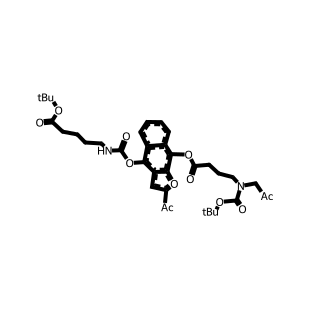 CC(=O)CN(CCCC(=O)Oc1c2ccccc2c(OC(=O)NCCCCC(=O)OC(C)(C)C)c2cc(C(C)=O)oc12)C(=O)OC(C)(C)C